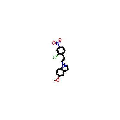 COc1ccc2c(ccn2/C=C/c2ccc([N+](=O)[O-])cc2Cl)c1